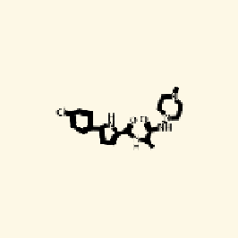 CC(NC(=O)c1ccc(-c2ccc(Cl)cc2)[nH]1)C(=O)NN1CCN(C)CC1